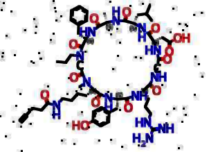 C#CCCC(=O)NCCCC[C@H]1C(=O)N[C@@H](Cc2ccc(O)cc2)C(=O)N[C@@H](CCCNC(=N)N)C(=O)NCC(=O)N[C@@H](CC(=O)O)C(=O)N[C@@H](CC(C)C)C(=O)N[C@@H](C)C(=O)N[C@@H](Cc2ccccc2)C(=O)N(CCC)CC(=O)N1C